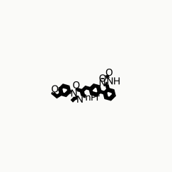 CCCc1nc(C)n(-c2ccc3c(c2)CCO3)c(=O)c1Cc1ccc(-c2ccccc2-c2noc(=O)[nH]2)cc1